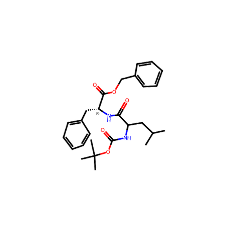 CC(C)CC(NC(=O)OC(C)(C)C)C(=O)N[C@H](Cc1ccccc1)C(=O)OCc1ccccc1